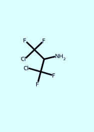 NC(C(F)(F)Cl)C(F)(F)Cl